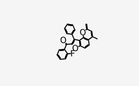 C=C1C=C(C)c2ccc3oc(C(=O)c4ccccc4F)c(-c4ccccc4)c3c2O1